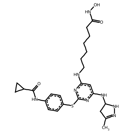 CC1=NNC(Nc2cc(NCCCCCCC(=O)NO)nc(Sc3ccc(NC(=O)C4CC4)cc3)n2)C1